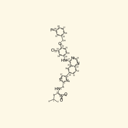 CC(C)CC(NCc1nc(-c2ccc3ncnc(Nc4ccc(OCc5cccc(F)c5)c(Cl)c4)c3c2)cs1)=S(=O)=O